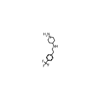 NN1CCC(NCCc2ccc(C(F)(F)F)cc2)CC1